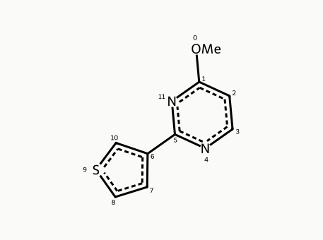 COc1ccnc(-c2ccsc2)n1